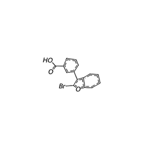 O=C(O)c1cccc(-c2c(Br)oc3ccccc23)c1